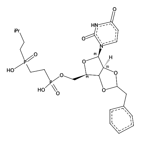 CC(C)CCP(=O)(O)CCP(=O)(O)OC[C@H]1O[C@@H](n2ccc(=O)[nH]c2=O)[C@H]2OC(Cc3ccccc3)OC12